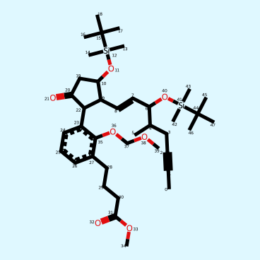 CC#CCC(C)C(/C=C/C1C(O[Si](C)(C)C(C)(C)C)CC(=O)C1c1cccc(CCCC(=O)OC)c1OCOC)O[Si](C)(C)C(C)(C)C